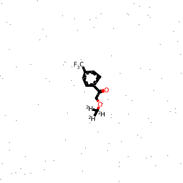 [2H]C([2H])([2H])OCC(=O)c1ccc(C(F)(F)F)cc1